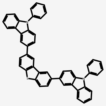 c1ccc(-n2c3ccccc3c3cc(-c4ccc5sc6ccc(-c7ccc8c(c7)c7ccccc7n8-c7ccccc7)cc6c5c4)ccc32)cc1